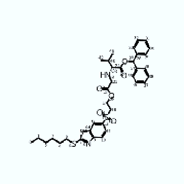 CCCCCCSc1nc2ccc(S(=O)(=O)CCOC(=O)CN[C@@H](C(=O)OC(c3ccccc3)c3ccccc3)C(C)C)cc2s1